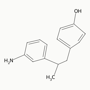 CC(Cc1ccc(O)cc1)c1cccc(N)c1